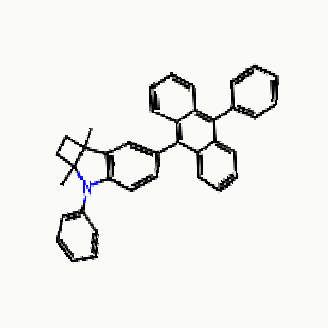 CC12CCC1(C)N(c1ccccc1)c1ccc(-c3c4ccccc4c(-c4ccccc4)c4ccccc34)cc12